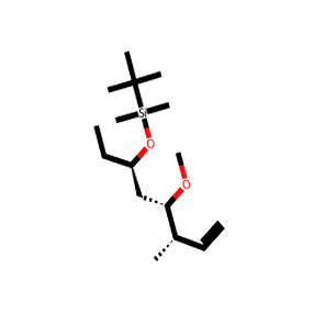 C=C[C@H](C)[C@H](C[C@@H](CC)O[Si](C)(C)C(C)(C)C)OC